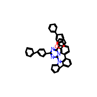 c1ccc(-c2ccc(-c3nc(-c4ccccc4)nc(-n4c5ccccc5c5cccc(-c6ccc7c(c6)oc6cc(-c8ccccc8)ccc67)c54)n3)cc2)cc1